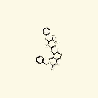 Cc1ncc(NC(=O)OCc2ccccc2)c(=O)n1CC(=O)NC(Cc1ccccc1)C(O)C(F)(F)F